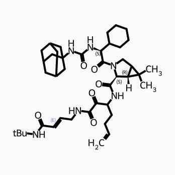 C=CCCC(NC(=O)[C@@H]1[C@@H]2C(CN1C(=O)[C@@H](NC(=O)NC13CC4CC(CC(C4)C1)C3)C1CCCCC1)C2(C)C)C(=O)C(=O)NC/C=C/C(=O)NC(C)(C)C